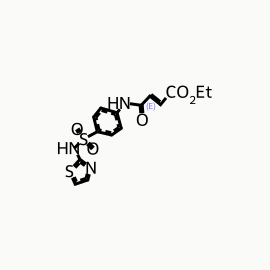 CCOC(=O)/C=C/C(=O)Nc1ccc(S(=O)(=O)Nc2nccs2)cc1